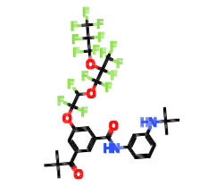 CC(C)(C)Nc1cccc(NC(=O)c2cc(OC(F)(F)C(F)OC(F)(F)C(F)(OC(F)(F)C(F)(F)C(F)(F)F)C(F)(F)F)cc(C(=O)C(C)(C)C)c2)c1